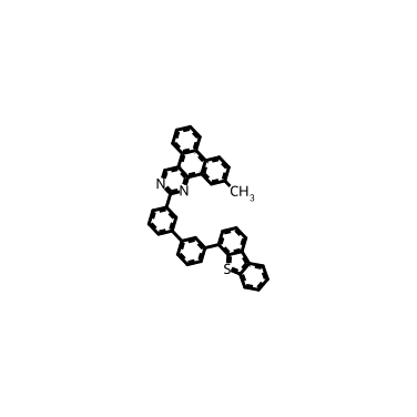 Cc1ccc2c3ccccc3c3cnc(-c4cccc(-c5cccc(-c6cccc7c6sc6ccccc67)c5)c4)nc3c2c1